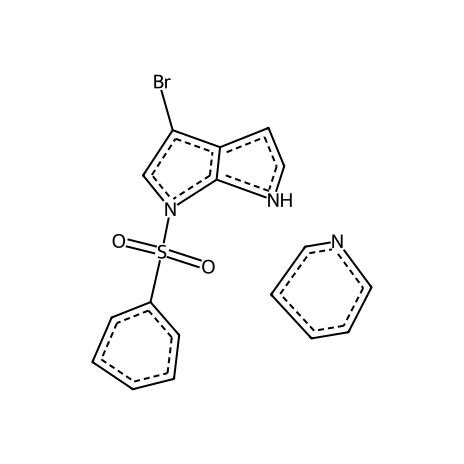 O=S(=O)(c1ccccc1)n1cc(Br)c2cc[nH]c21.c1ccncc1